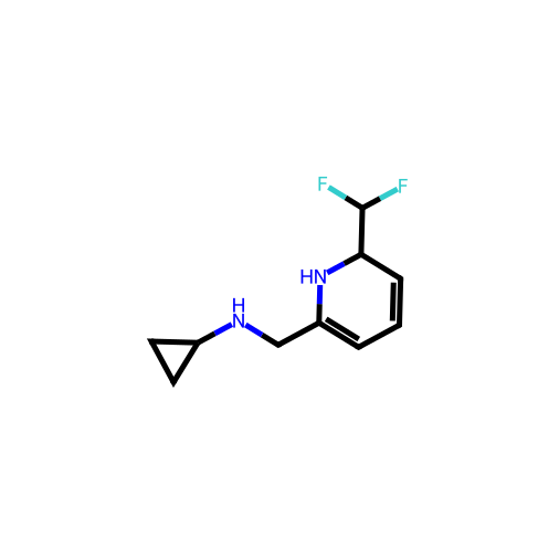 FC(F)C1C=CC=C(CNC2CC2)N1